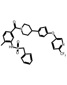 Cc1ccc(C(=O)N2CCC(c3ccc(Oc4ccc(C(F)(F)F)nc4)cc3)CC2)cc1NS(=O)(=O)Cc1ccccc1